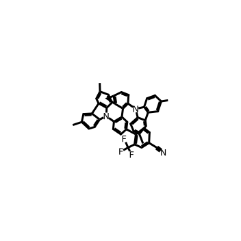 Cc1ccc2c(c1)c1cc(C)ccc1n2-c1ccc(-c2ccc(C#N)cc2C(F)(F)F)cc1-c1c(-n2c3ccc(C)cc3c3cc(C)ccc32)ccc2c1C2